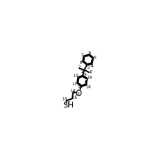 CC(C)(c1ccccc1)c1ccc(OCCCS)cc1